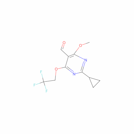 COc1nc(C2CC2)nc(OCC(F)(F)F)c1C=O